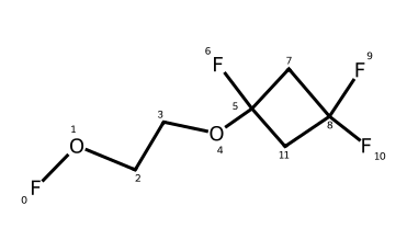 FOCCOC1(F)CC(F)(F)C1